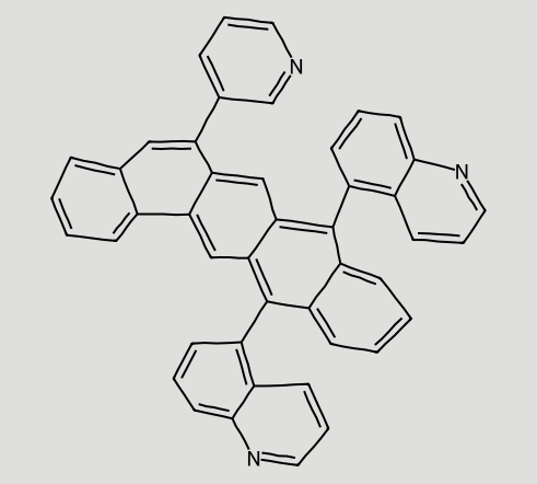 c1cncc(-c2cc3ccccc3c3cc4c(-c5cccc6ncccc56)c5ccccc5c(-c5cccc6ncccc56)c4cc23)c1